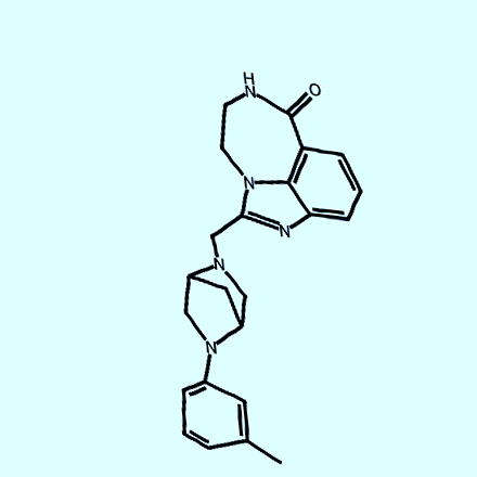 Cc1cccc(N2CC3CC2CN3Cc2nc3cccc4c3n2CCNC4=O)c1